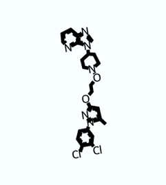 Cc1cc(OCCON2CCC(n3cnc4cccnc43)CC2)nn1-c1ccc(Cl)c(Cl)c1